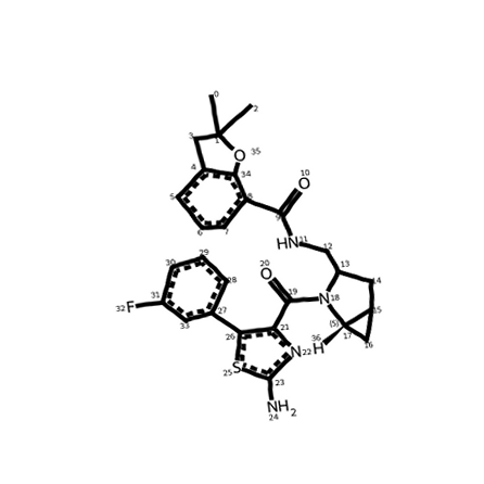 CC1(C)Cc2cccc(C(=O)NCC3CC4C[C@@H]4N3C(=O)c3nc(N)sc3-c3cccc(F)c3)c2O1